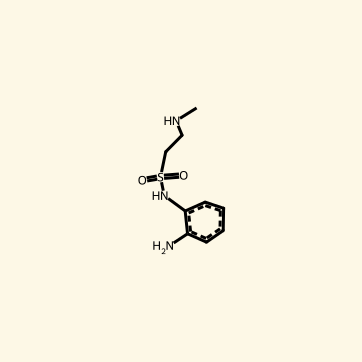 CNCCS(=O)(=O)Nc1ccccc1N